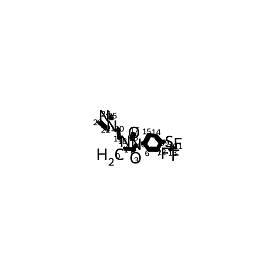 C=C1C(=O)N(c2ccc(SC(F)(F)F)cc2)C(=O)N1CCn1ccnc1